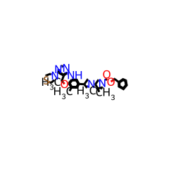 Cc1cc(C2CN(C3CN(C(=O)OCc4ccccc4)CC3(C)C)C2)cc2c1OC(C)c1c(ncnc1N1CCSCC1)N2